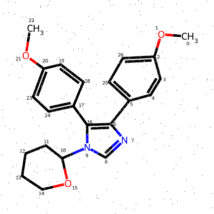 COc1ccc(-c2ncn(C3CCCCO3)c2-c2ccc(OC)cc2)cc1